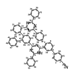 N#Cc1ccc(-c2cccc(C3N=C(c4ccc(-c5ccccc5-c5nc(-c6ccccc6)nc(-c6ccccc6)n5)c(-c5ccccc5)c4)N=C(c4ccccc4)N3)c2)cc1